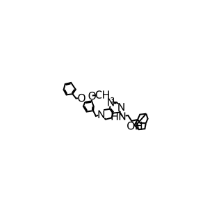 COc1cc(CN2CCc3c(ncnc3NCC(O)C34CC5CC(CC(C5)C3)C4)C2)ccc1OCc1ccccc1